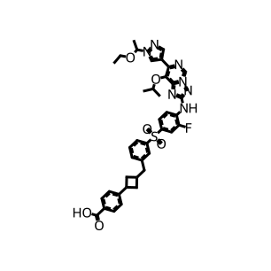 CCOC(C)n1cc(-c2ncn3nc(Nc4ccc(S(=O)(=O)c5cccc(CC6CC(c7ccc(C(=O)O)cc7)C6)c5)cc4F)nc3c2OC(C)C)cn1